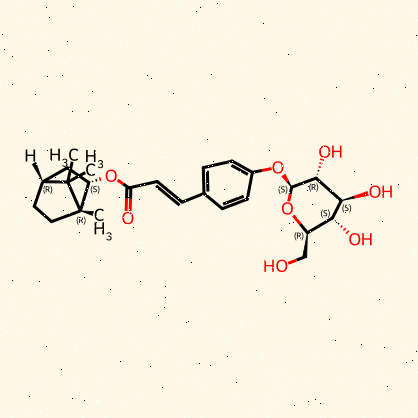 CC1(C)[C@@H]2CC[C@@]1(C)[C@@H](OC(=O)C=Cc1ccc(O[C@@H]3O[C@H](CO)[C@@H](O)[C@H](O)[C@H]3O)cc1)C2